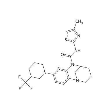 Cc1csc(NC(=O)N2c3nc(N4CCCC(C(F)(F)F)C4)ccc3N3CCCC2C3)n1